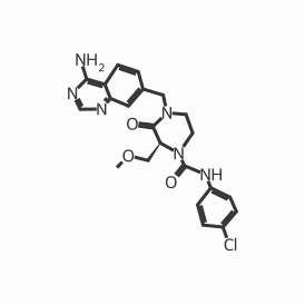 COC[C@H]1C(=O)N(Cc2ccc3c(N)ncnc3c2)CCN1C(=O)Nc1ccc(Cl)cc1